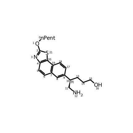 CCCCCOc1nc2ccc3cc([C@H](CN)CCCO)ccc3c2s1